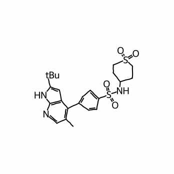 Cc1cnc2[nH]c(C(C)(C)C)cc2c1-c1ccc(S(=O)(=O)NC2CCS(=O)(=O)CC2)cc1